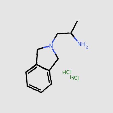 CC(N)CN1Cc2ccccc2C1.Cl.Cl